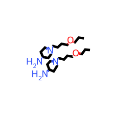 CCCOCCCCN1CCC(N)CC1.CCCOCCCCN1CCC(N)CC1